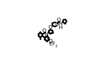 Cc1cccc(C(=O)Nc2cccc(OC3CCN(C(=O)NC4CCCC4)CC3)c2)c1-c1ccc(OC(F)(F)F)cc1